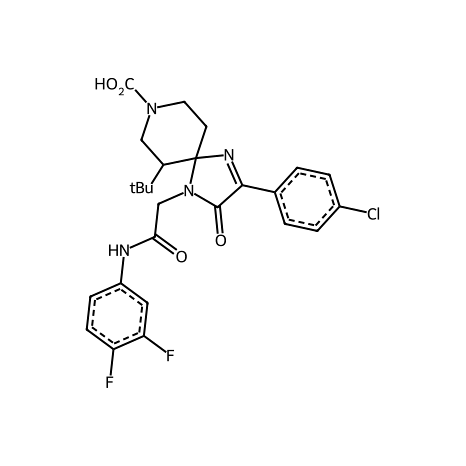 CC(C)(C)C1CN(C(=O)O)CCC12N=C(c1ccc(Cl)cc1)C(=O)N2CC(=O)Nc1ccc(F)c(F)c1